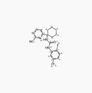 N#Cc1nccc(C2(NC(=O)Nc3cc(C(F)(F)F)ccc3F)CCCCC2)n1